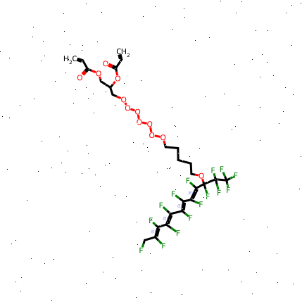 C=CC(=O)OCC(COOOOOOOCCCCCOC(F)(/C(F)=C(F)/C(F)=C(F)/C(F)=C(F)/C(F)=C(\F)CF)C(F)(F)C(F)(F)F)OC(=O)C=C